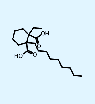 CCCCCCCCCC1(C(=O)O)CCCCC1(CC)C(=O)O